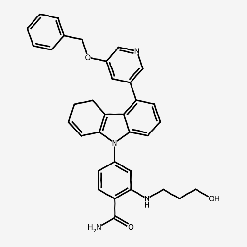 NC(=O)c1ccc(-n2c3c(c4c(-c5cncc(OCc6ccccc6)c5)cccc42)CCC=C3)cc1NCCCO